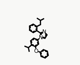 CC(C)Cc1ccccc1-c1nccn1-c1ccc(C(C)C)c(Oc2ccccc2)c1